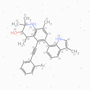 CC(=O)c1ccccc1C#Cc1c(-c2cccc3c(C)c[nH]c23)cc(C)c2c1C(C)C(O)C(C)(C)N2